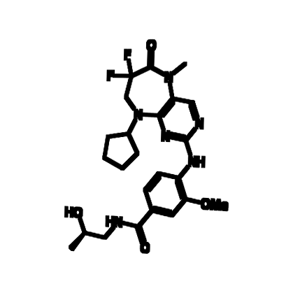 COc1cc(C(=O)NC[C@@H](C)O)ccc1Nc1ncc2c(n1)N(C1CCCC1)CC(F)(F)C(=O)N2C